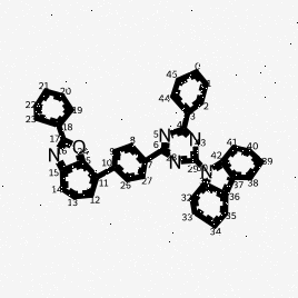 c1ccc(-c2nc(-c3ccc(-c4cccc5nc(-c6ccccc6)oc45)cc3)nc(-n3c4ccccc4c4ccccc43)n2)cc1